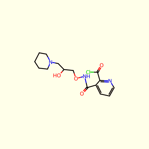 O=C(NOCC(O)CN1CCCCC1)c1cccnc1C(=O)Cl